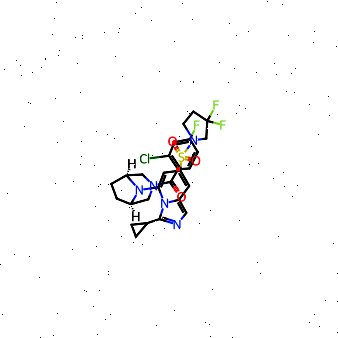 O=C(c1ccc(F)cc1Cl)N1C[C@H]2CC[C@@H](C1)N2c1cc(S(=O)(=O)N2CCC(F)(F)C2)cc2cnc(C3CC3)n12